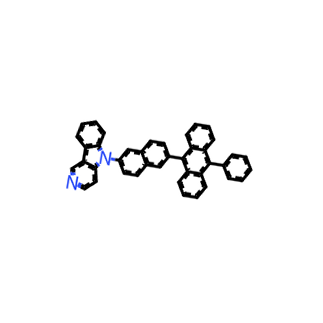 c1ccc(-c2c3ccccc3c(-c3ccc4cc(-n5c6ccccc6c6cnccc65)ccc4c3)c3ccccc23)cc1